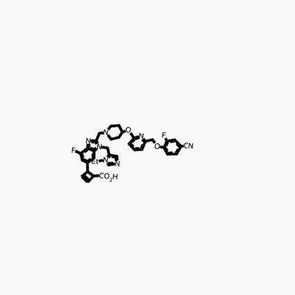 CCn1cncc1Cn1c(CN2CCC(Oc3cccc(COc4ccc(C#N)cc4F)n3)CC2)nc2c(F)cc(C3C#CC3C(=O)O)cc21